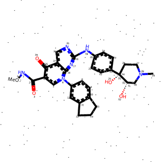 CONC(=O)c1cn(-c2ccc3c(c2)CCC3)c2nc(Nc3ccc([C@@]4(O)CCN(C)C[C@@H]4O)cc3)ncc2c1=O